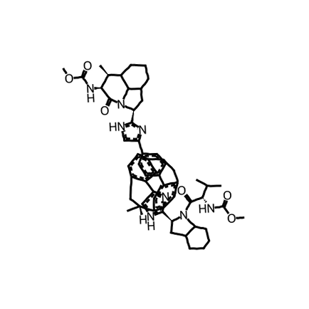 COC(=O)N[C@H](C(=O)N1C2CCCCC2C[C@H]1c1nc(-c2cc3ccc2C[C@@H](C)c2ccc(c(-c4ccc(-c5c[nH]c([C@@H]6CC7CCCC8C7N6C(=O)[C@@H](NC(=O)OC)[C@H]8C)n5)cc4)c2)CC3)c[nH]1)C(C)C